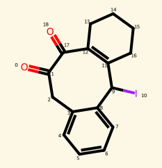 O=C1Cc2ccccc2C(I)C2=C(CCCC2)C1=O